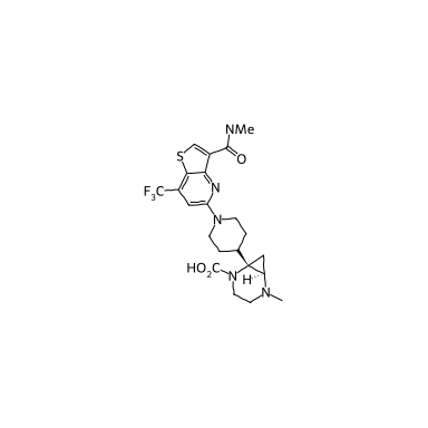 CNC(=O)c1csc2c(C(F)(F)F)cc(N3CCC([C@@]45C[C@H]4N(C)CCN5C(=O)O)CC3)nc12